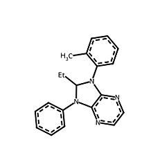 CCC1N(c2ccccc2)c2nccnc2N1c1ccccc1C